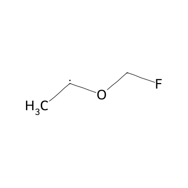 C[CH]OCF